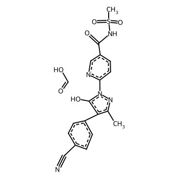 Cc1nn(-c2ccc(C(=O)NS(C)(=O)=O)cn2)c(O)c1-c1ccc(C#N)cc1.O=CO